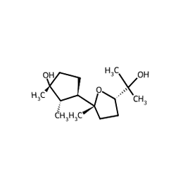 C[C@H]1[C@H]([C@@]2(C)CC[C@@H](C(C)(C)O)O2)CC[C@@]1(C)O